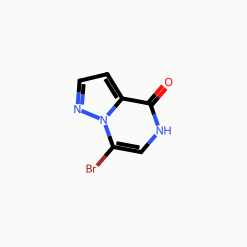 O=c1[nH]cc(Br)n2nccc12